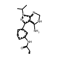 C=CC(=O)Nc1cccc(-c2nn(C(C)C)c3c2=C(N)NCN=3)c1